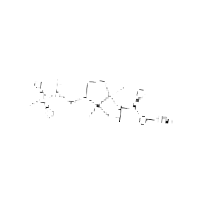 CC(C)(C)OC(=O)N[C@]1(C)CC[C@H](CNS(C)(=O)=O)C1(C)C